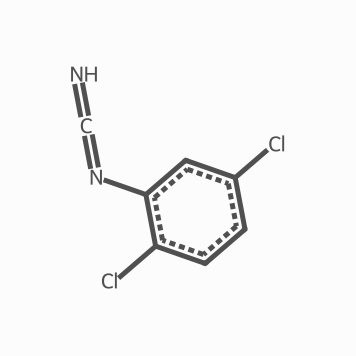 N=C=Nc1cc(Cl)ccc1Cl